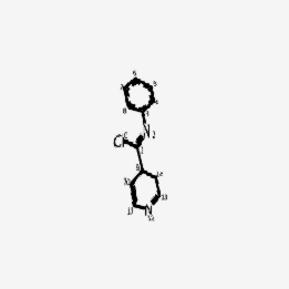 ClC(=Nc1ccccc1)C1C=CN=CC1